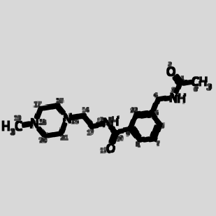 CC(=O)NCc1cccc(C(=O)NCCN2CCN(C)CC2)c1